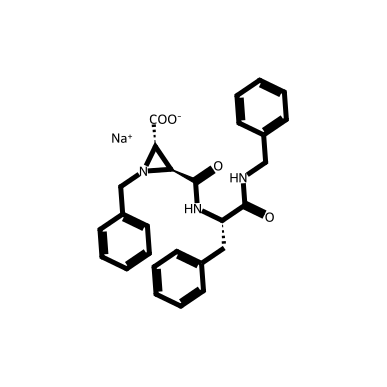 O=C(NCc1ccccc1)[C@H](Cc1ccccc1)NC(=O)[C@@H]1[C@@H](C(=O)[O-])N1Cc1ccccc1.[Na+]